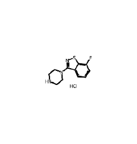 Cl.Fc1cccc2c(N3CCNCC3)nsc12